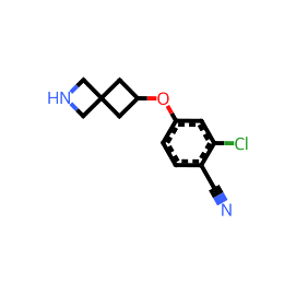 N#Cc1ccc(OC2CC3(CNC3)C2)cc1Cl